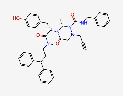 C#CCN1CC(=O)N([C@@H](Cc2ccc(O)cc2)C(=O)N(C)CCC(c2ccccc2)c2ccccc2)[C@H](C)N1C(=O)NCc1ccccc1